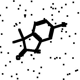 CC1(C)[C](=O)[Ac][c]2cc(Br)ccc21